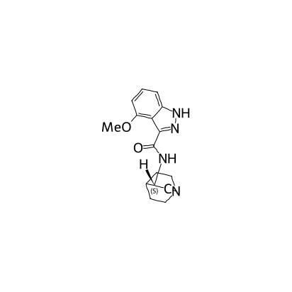 COc1cccc2[nH]nc(C(=O)N[C@@H]3CN4CCC3CC4)c12